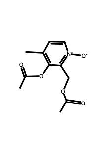 CC(=O)OCc1c(OC(C)=O)c(C)cc[n+]1[O-]